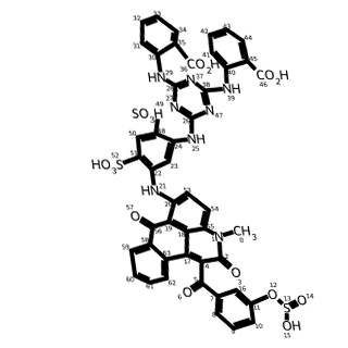 Cn1c(=O)c(C(=O)c2cccc(OS(=O)O)c2)c2c3c(c(Nc4cc(Nc5nc(Nc6ccccc6C(=O)O)nc(Nc6ccccc6C(=O)O)n5)c(S(=O)(=O)O)cc4S(=O)(=O)O)ccc31)C(=O)c1ccccc1-2